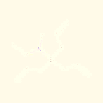 C=CC[Si](CC=C)(CC=C)N(C)CC